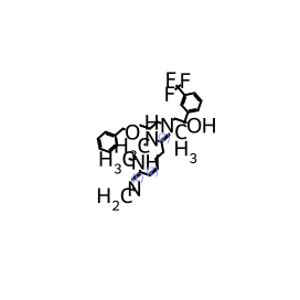 C=N/C=C(\C=C/CC/C(=C/N(CCCOCc1ccccc1)CC(C)(O)c1cccc(C(F)(F)F)c1)NC)NC